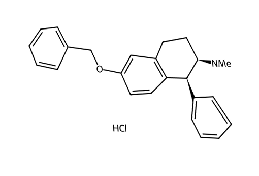 CN[C@@H]1CCc2cc(OCc3ccccc3)ccc2[C@@H]1c1ccccc1.Cl